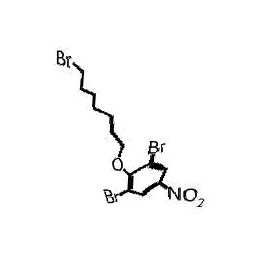 O=[N+]([O-])c1cc(Br)c(OCCCCCCCBr)c(Br)c1